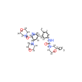 Cc1ccc(NC(=O)N2CCO[C@H](C(F)(F)F)C2)cc1-c1cnc(ON2CCOCC2)c(N2CCOCC2)c1